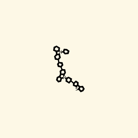 c1ccc(-n2c3ccccc3c3ccc(-c4ccc(-c5ccc6c(c5)c5ccccc5n6-c5ccc(-c6ccc7c(c6)sc6ccccc67)cc5)cc4)cc32)cc1